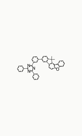 CC1(C)c2ccc(-c3cccc(-c4nc(-c5ccccc5)nc(-c5ccccc5)n4)c3)cc2-c2ccc3oc4ccccc4c3c21